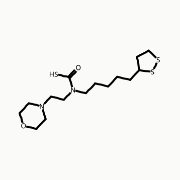 O=C(S)N(CCCCCC1CCSS1)CCN1CCOCC1